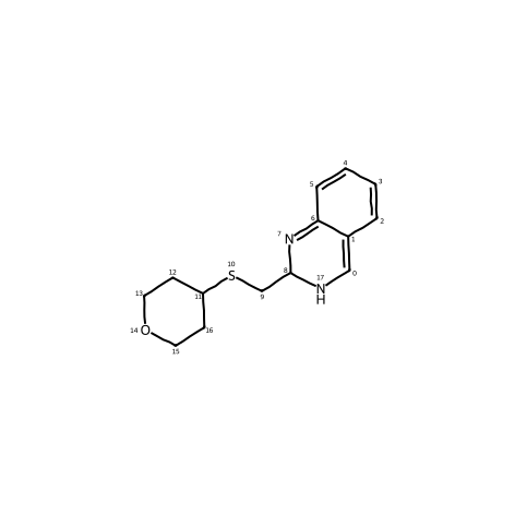 C1=c2ccccc2=NC(CSC2CCOCC2)N1